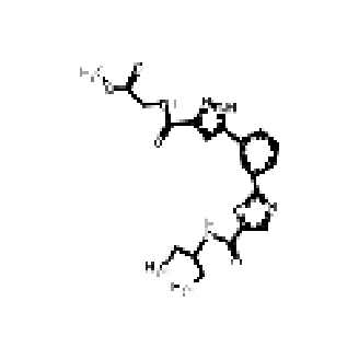 CCC(CC)NC(=O)c1cnc(-c2cccc(-c3cc(C(=O)NCC(=O)OC)n[nH]3)c2)o1